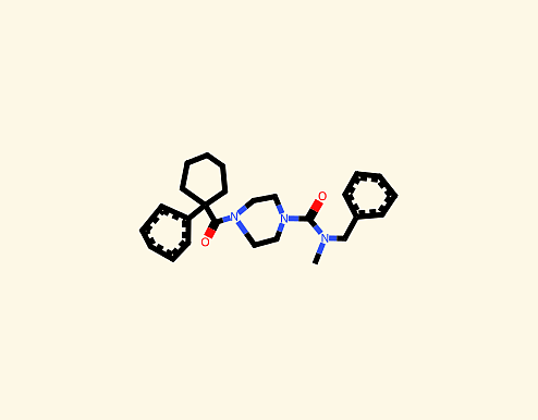 CN(Cc1ccccc1)C(=O)N1CCN(C(=O)C2(c3ccccc3)CCCCC2)CC1